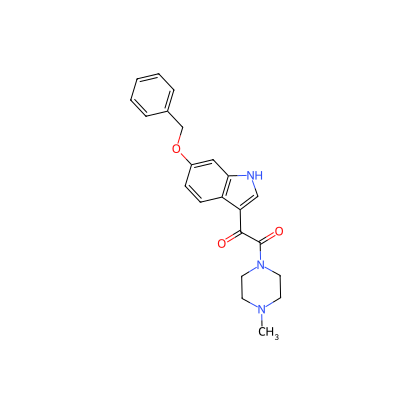 CN1CCN(C(=O)C(=O)c2c[nH]c3cc(OCc4ccccc4)ccc23)CC1